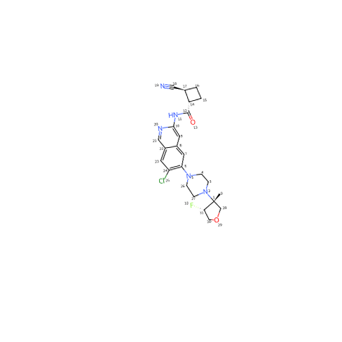 C[C@@]1(N2CCN(c3cc4cc(NC(=O)[C@H]5CC[C@@H]5C#N)ncc4cc3Cl)CC2)COC[C@@H]1F